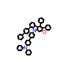 c1ccc(-c2ccc(-c3cccc4c5c(-c6ccccc6)c6c(cc5n(-c5ccc(-c7ccc(N(c8ccccc8)c8ccccc8)cc7)cc5)c34)oc3ccccc36)cc2)cc1